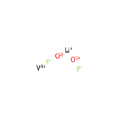 [F-].[F-].[Li+].[O-2].[O-2].[V+5]